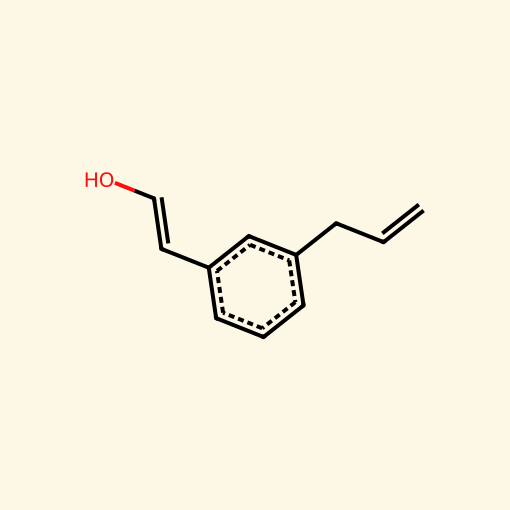 C=CCc1cccc(C=CO)c1